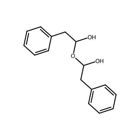 OC(Cc1ccccc1)OC(O)Cc1ccccc1